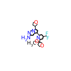 CO[C@]1(c2cc(C(F)F)cc(-c3cc(C4CCOC4)n4cnc(N)cc34)n2)CCOC1